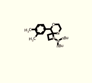 CCCCN(CCCC)N1CCC12[N]CCOC2c1ccc(C)c(C)c1